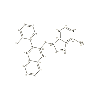 Cc1ccccc1-c1nc2ccccc2nc1Cn1cnc2c(N)ncnc21